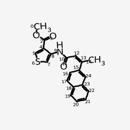 COC(=O)c1cscc1NC(=O)/C=C(/C)c1ccc2ccccc2c1